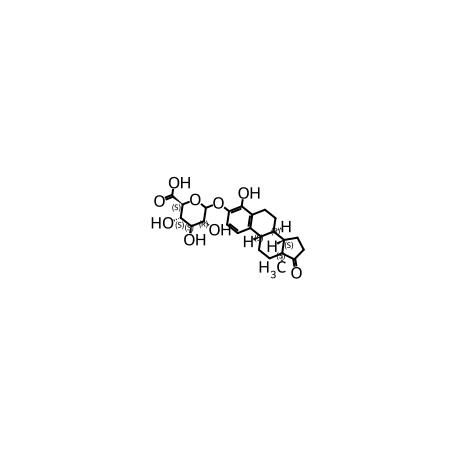 C[C@]12CC[C@@H]3c4ccc(OC5O[C@H](C(=O)O)[C@@H](O)[C@H](O)[C@H]5O)c(O)c4CC[C@H]3[C@@H]1CCC2=O